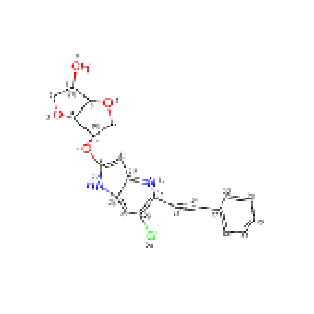 O[C@@H]1COC2C1OC[C@H]2Oc1cc2nc(C#Cc3ccccc3)c(Cl)cc2[nH]1